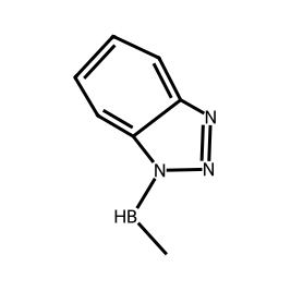 CBn1nnc2ccccc21